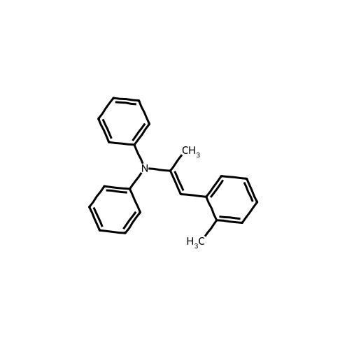 CC(=Cc1ccccc1C)N(c1ccccc1)c1ccccc1